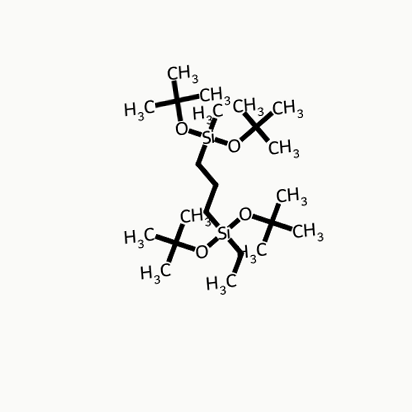 CC[Si](CCC[Si](C)(OC(C)(C)C)OC(C)(C)C)(OC(C)(C)C)OC(C)(C)C